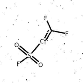 O=[S](=O)(F)[Cf]=[C](F)F